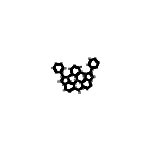 c1ccc(-c2nc3ccc4c5c3n2-c2cccc3c2B5c2c(ccc5nc(-c6ccccc6)n-3c25)S4)cc1